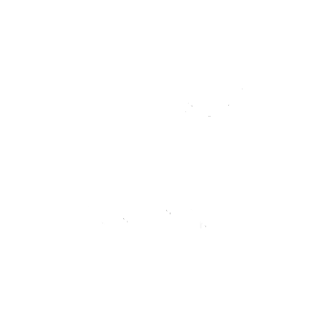 C=CC(=O)N1CCN(C(=O)NC(C)C#Cc2ccc(Cl)c(C3(C(N)=O)CC3)c2)CC1